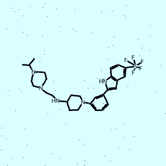 CC(C)N1CCN(CCNC2CCN(c3cccc(-c4cc5cc(S(F)(F)(F)(F)F)ccc5[nH]4)c3)CC2)CC1